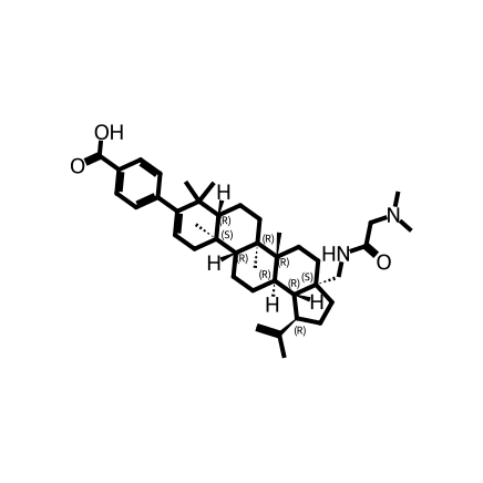 C=C(C)[C@@H]1CC[C@]2(CNC(=O)CN(C)C)CC[C@]3(C)[C@H](CC[C@@H]4[C@@]5(C)CC=C(c6ccc(C(=O)O)cc6)C(C)(C)[C@@H]5CC[C@]43C)[C@@H]12